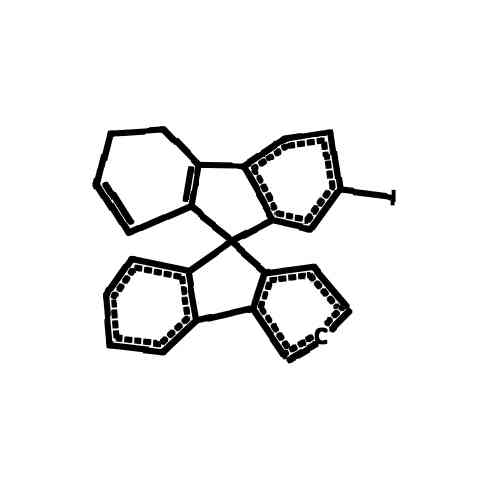 Ic1ccc2c(c1)C1(C3=C2CCC=C3)c2ccccc2-c2ccccc21